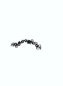 N#Cc1ccc(O[C@H]2CC[C@H](NC(=O)c3ccc(N4CCC(CN5CC[C@@H](n6ccc7c(N8CCC(=O)NC8=O)cccc76)C5)CC4)nn3)CC2)cc1Cl